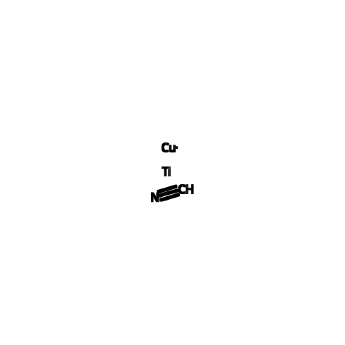 C#N.[Cu].[Ti]